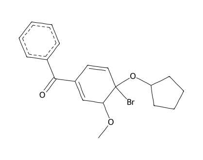 COC1C=C(C(=O)c2ccccc2)C=CC1(Br)OC1CCCC1